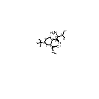 COC(=O)[C@H]1C[C@@H](C(C)(C)C)CCN1C(=O)[C@@H](N)C(C)C